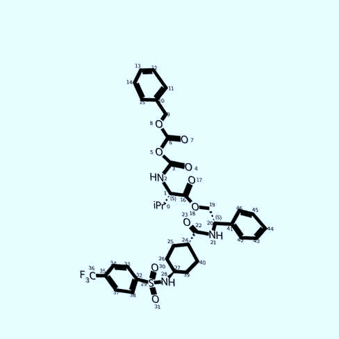 CC(C)[C@H](NC(=O)OC(=O)OCc1ccccc1)C(=O)OC[C@@H](NC(=O)[C@H]1CC[C@H](NS(=O)(=O)c2ccc(C(F)(F)F)cc2)CC1)c1ccccc1